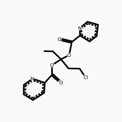 CCC(CCCl)(OC(=O)c1ccccn1)OC(=O)c1ccccn1